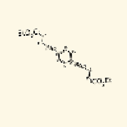 CCOC(=O)/C=C/C#Cc1ccc(C#C/C=C/C(=O)OCC)cc1